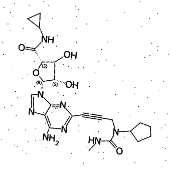 CNC(=O)N(CC#Cc1nc(N)c2ncn([C@@H]3O[C@H](C(=O)NC4CC4)C(O)[C@@H]3O)c2n1)C1CCCC1